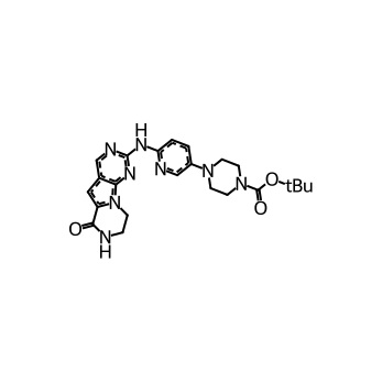 CC(C)(C)OC(=O)N1CCN(c2ccc(Nc3ncc4cc5n(c4n3)CCNC5=O)nc2)CC1